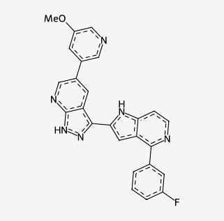 COc1cncc(-c2cnc3[nH]nc(-c4cc5c(-c6cccc(F)c6)nccc5[nH]4)c3c2)c1